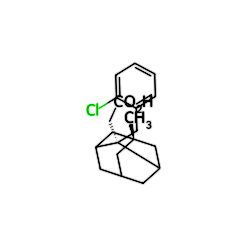 C[C@]12CC3CC(C1)[C@](CC(=O)O)(Cc1ccccc1Cl)C(C3)C2